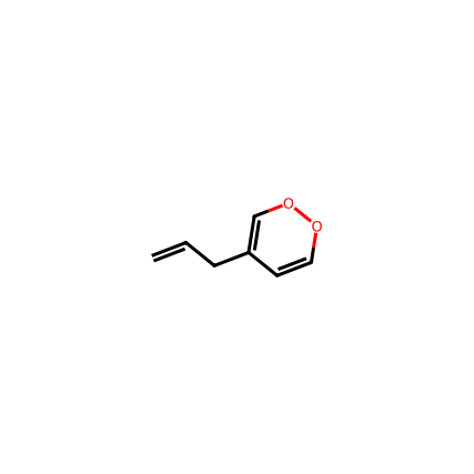 C=CCC1=COOC=C1